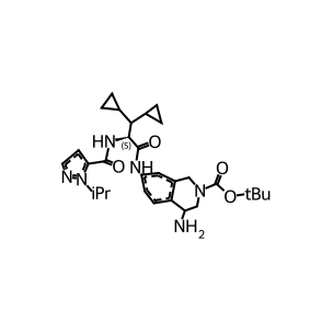 CC(C)n1nccc1C(=O)N[C@H](C(=O)Nc1ccc2c(c1)CN(C(=O)OC(C)(C)C)CC2N)C(C1CC1)C1CC1